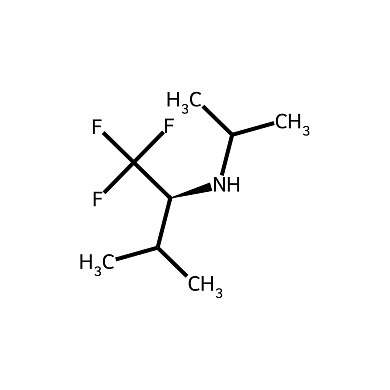 CC(C)N[C@@H](C(C)C)C(F)(F)F